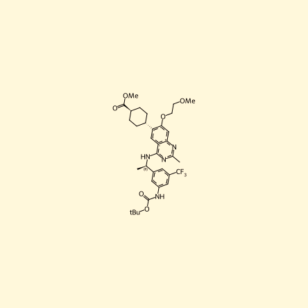 COCCOc1cc2nc(C)nc(N[C@H](C)c3cc(NC(=O)OC(C)(C)C)cc(C(F)(F)F)c3)c2cc1[C@H]1CC[C@H](C(=O)OC)CC1